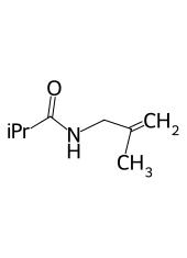 C=C(C)CNC(=O)C(C)C